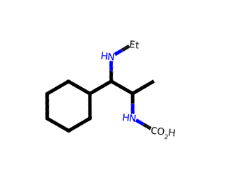 CCNC(C1CCCCC1)C(C)NC(=O)O